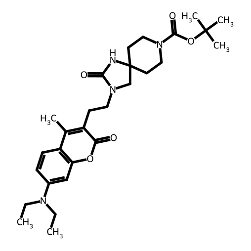 CCN(CC)c1ccc2c(C)c(CCN3CC4(CCN(C(=O)OC(C)(C)C)CC4)NC3=O)c(=O)oc2c1